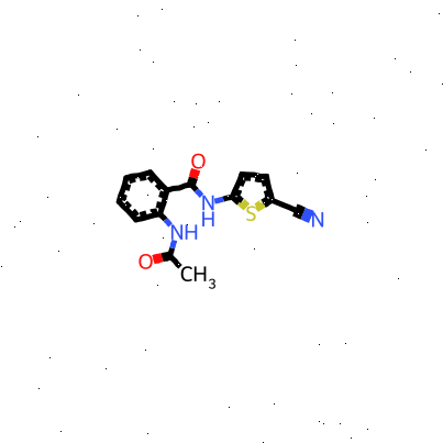 CC(=O)Nc1ccccc1C(=O)Nc1ccc(C#N)s1